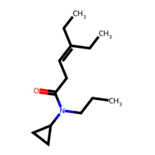 CCCN(C(=O)CC=C(CC)CC)C1CC1